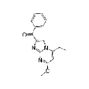 CCc1cc(OC)nc2nc(C(=O)c3ccccc3)cn12